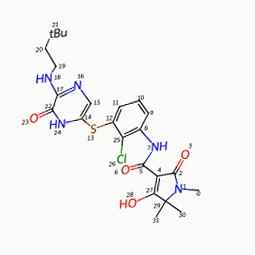 CN1C(=O)C(C(=O)Nc2cccc(Sc3cnc(NCCC(C)(C)C)c(=O)[nH]3)c2Cl)=C(O)C1(C)C